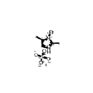 CC[n+]1c(C)c[nH]c1C.O=S(=O)([O-])C(F)(F)F